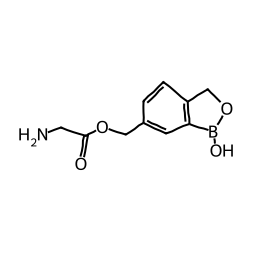 NCC(=O)OCc1ccc2c(c1)B(O)OC2